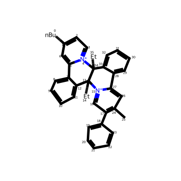 CCCCc1cc[n+]2c(c1)-c1ccccc1C1(CC)[n+]3cc(-c4ccccc4)c(C)cc3-c3ccccc3C21CC